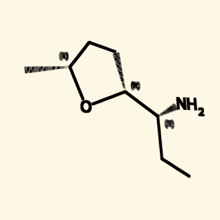 CC[C@@H](N)[C@H]1CC[C@@H](C)O1